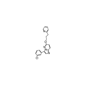 Clc1cccc(-c2cnc3ccc(OCCCc4ccccn4)nn23)c1